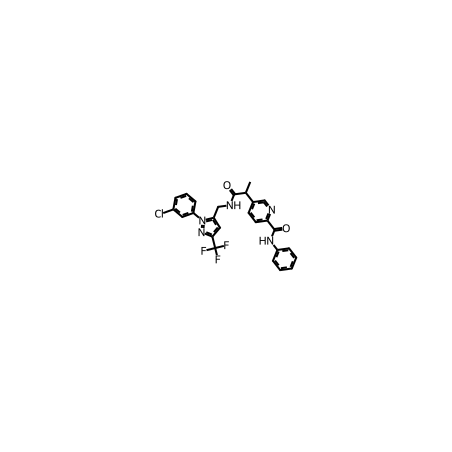 CC(C(=O)NCc1cc(C(F)(F)F)nn1-c1cccc(Cl)c1)c1ccc(C(=O)Nc2ccccc2)nc1